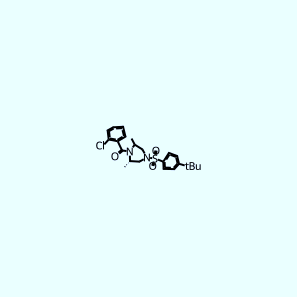 CC1CN(S(=O)(=O)c2ccc(C(C)(C)C)cc2)C[C@H](C)N1C(=O)c1ccccc1Cl